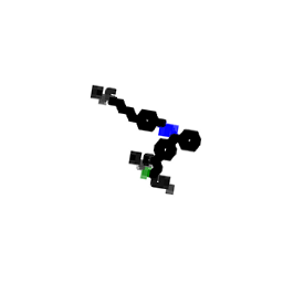 C=CCCCCc1ccc(C=NN=C(c2ccccc2)c2ccc(C(C)CC(C)F)cc2)cc1